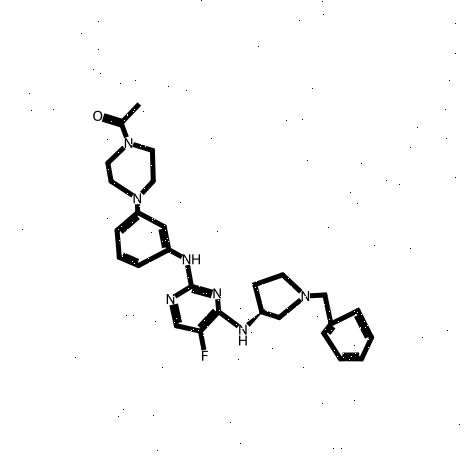 CC(=O)N1CCN(c2cccc(Nc3ncc(F)c(N[C@H]4CCN(Cc5ccccc5)C4)n3)c2)CC1